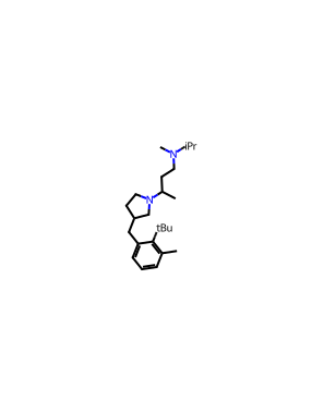 Cc1cccc(CC2CCN(C(C)CCN(C)C(C)C)C2)c1C(C)(C)C